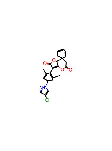 Cc1cc(-n2cc(Cl)cn2)cc(C)c1C1=C2OC(=O)CC3(C=CC=CC3)C2OC1=O